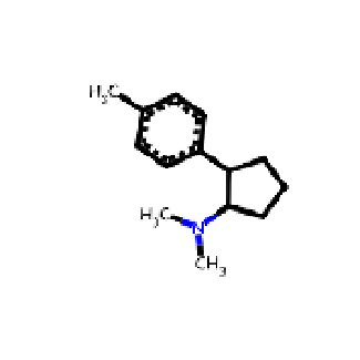 Cc1ccc(C2CCCC2N(C)C)cc1